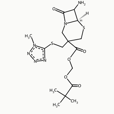 Cn1nnnc1SCC1(C(=O)OCOC(=O)C(C)(C)C)CS[C@@H]2C(N)C(=O)N2C1